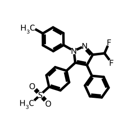 Cc1ccc(-n2nc(C(F)F)c(-c3ccccc3)c2-c2ccc(S(C)(=O)=O)cc2)cc1